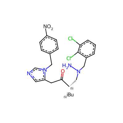 CC[C@H](C)[C@@H](CN(N)Cc1cccc(Cl)c1Cl)C(=O)Cc1cncn1Cc1ccc([N+](=O)[O-])cc1